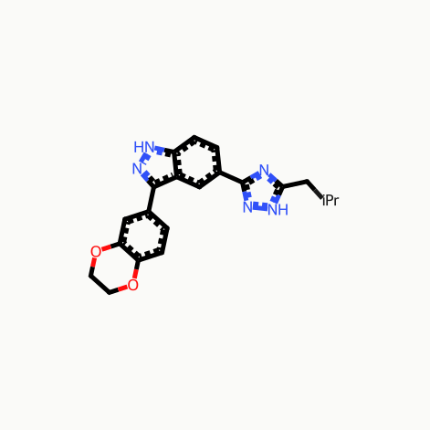 CC(C)Cc1nc(-c2ccc3[nH]nc(-c4ccc5c(c4)OCCO5)c3c2)n[nH]1